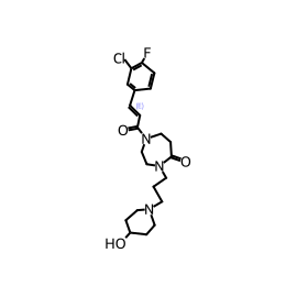 O=C(/C=C/c1ccc(F)c(Cl)c1)N1CCC(=O)N(CCCN2CCC(O)CC2)CC1